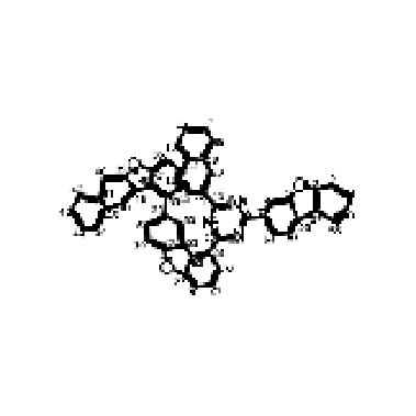 c1ccc2oc3cc(-c4nc(-c5ccc6ccccc6c5)nc(-c5cccc6oc7ccc(-c8cccc9oc%10cc%11ccccc%11cc%10c89)cc7c56)n4)ccc3c2c#1